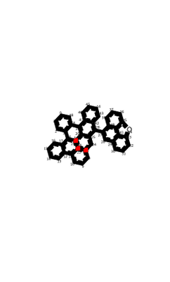 c1ccc(-c2cc3ccccc3c3ccccc23)c(-c2c3ccccc3c(-c3cc4cccc5oc6cccc3c6c45)c3ccccc23)c1